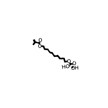 C=C(C)C(=O)O[CH]CCCCCCCCCOP(=O)(O)O